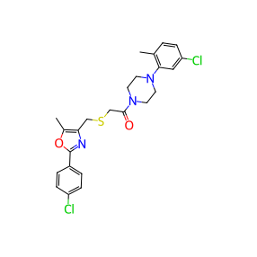 Cc1ccc(Cl)cc1N1CCN(C(=O)CSCc2nc(-c3ccc(Cl)cc3)oc2C)CC1